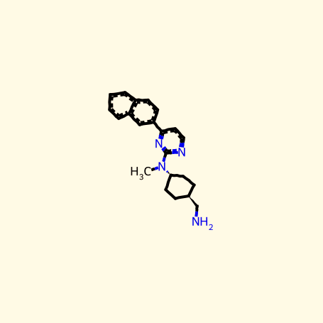 CN(c1nccc(-c2ccc3ccccc3c2)n1)[C@H]1CC[C@H](CN)CC1